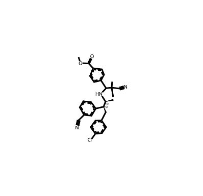 COC(=O)c1ccc(C(N[C@@H](C)[C@@H](Cc2ccc(Cl)cc2)c2cccc(C#N)c2)C(C)(C)C#N)cc1